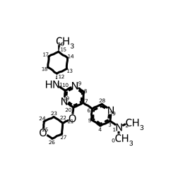 CN(C)c1ccc(-c2cnc(N[C@H]3CC[C@H](C)CC3)nc2OC2CCOCC2)cn1